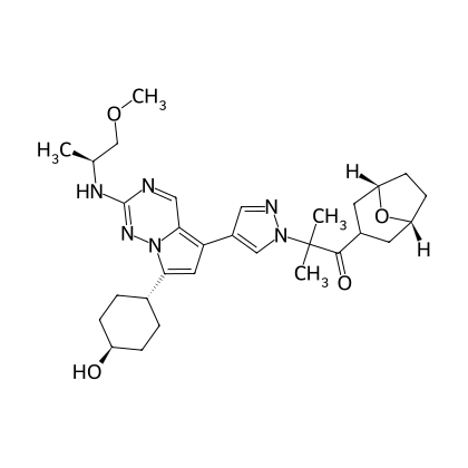 COC[C@H](C)Nc1ncc2c(-c3cnn(C(C)(C)C(=O)C4C[C@H]5CC[C@@H](C4)O5)c3)cc([C@H]3CC[C@H](O)CC3)n2n1